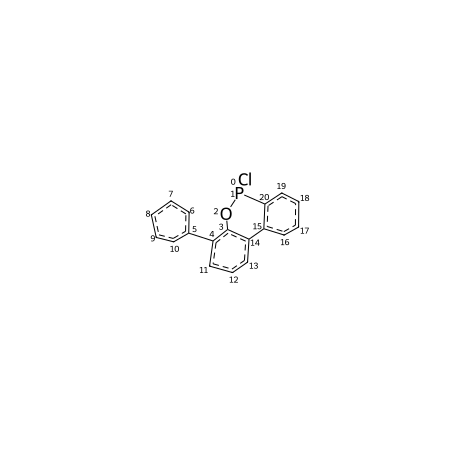 ClP1Oc2c(-c3ccccc3)cccc2-c2ccccc21